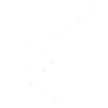 CCO/N=C(\C(=O)N[C@@H]1C(=O)N2C(C(=O)[O-])=C(Cn3cc[n+]4c(NCCN)cccc34)CS[C@@H]12)c1csc(N)n1